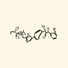 O=C(Nc1ccc(-c2cnc(CNS(=O)(=O)CF)s2)cc1)Nc1ccccc1F